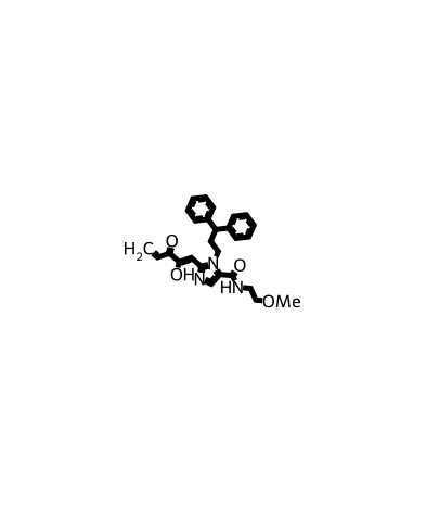 C=CC(=O)/C(O)=C/c1ncc(C(=O)NCCOC)n1CCC(c1ccccc1)c1ccccc1